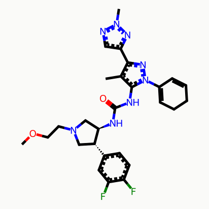 COCCN1C[C@@H](NC(=O)Nc2c(C)c(-c3cnn(C)n3)nn2C2=CCCC=C2)[C@H](c2ccc(F)c(F)c2)C1